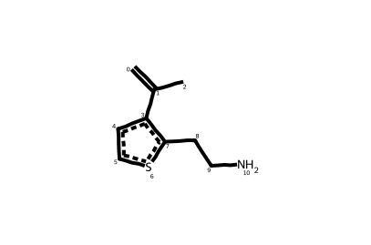 C=C(C)c1ccsc1CCN